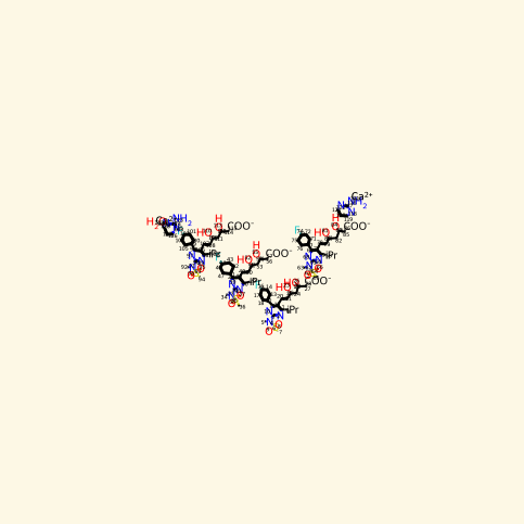 CC(C)c1nc(N(C)S(C)(=O)=O)nc(-c2ccc(F)cc2)c1C=C[C@@H](O)C[C@@H](O)CC(=O)[O-].CC(C)c1nc(N(C)S(C)(=O)=O)nc(-c2ccc(F)cc2)c1C=C[C@@H](O)C[C@@H](O)CC(=O)[O-].CC(C)c1nc(N(C)S(C)(=O)=O)nc(-c2ccc(F)cc2)c1C=C[C@@H](O)C[C@@H](O)CC(=O)[O-].CC(C)c1nc(N(C)S(C)(=O)=O)nc(-c2ccc(F)cc2)c1C=C[C@@H](O)C[C@@H](O)CC(=O)[O-].Nc1ncccn1.Nc1ncccn1.O.[Ca+2].[Ca+2]